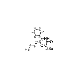 CC(C)(C)OC(=O)NC(C(=O)OCCS)c1ccccc1